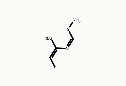 C/C=C(\N=C/SN)C(C)(C)C